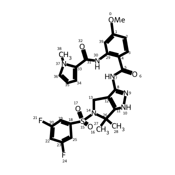 COc1ccc(C(=O)Nc2n[nH]c3c2CN(S(=O)(=O)c2cc(F)cc(F)c2)C3(C)C)c(NC(=O)c2cccn2C)c1